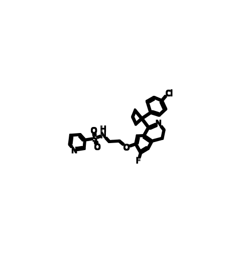 O=S(=O)(NCCOc1cc2c(cc1F)CCN=C2C1(c2ccc(Cl)cc2)CCC1)c1cccnc1